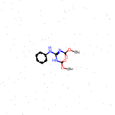 CC(C)(C)OC(=O)/N=C(\NC(=O)OC(C)(C)C)Nc1[c]cccc1